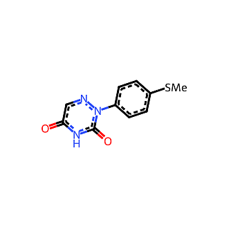 CSc1ccc(-n2ncc(=O)[nH]c2=O)cc1